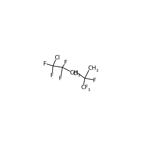 CC(F)(Cl)C(F)(F)F.CC(F)(F)C(F)(F)Cl